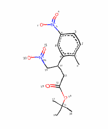 Cc1ccc([N+](=O)[O-])cc1C(CC(=O)OC(C)(C)C)C[N+](=O)[O-]